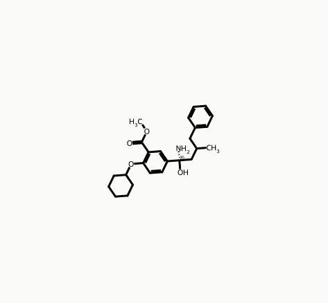 COC(=O)c1cc([C@](N)(O)CC(C)Cc2ccccc2)ccc1OC1CCCCC1